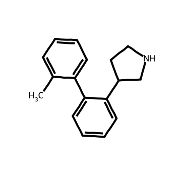 Cc1ccccc1-c1ccccc1C1CCNC1